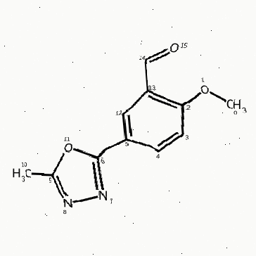 COc1ccc(-c2nnc(C)o2)cc1C=O